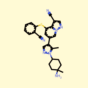 Cc1c(-c2cc(Sc3ccccc3C#N)c3c(C#N)cnn3c2)cnn1C1CCC(C)(N)CC1